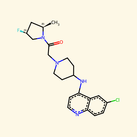 C[C@@H]1C[C@H](F)CN1C(=O)CN1CCC(Nc2ccnc3ccc(Cl)cc23)CC1